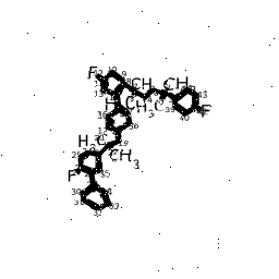 CC(C)(CCC(C)(C)c1ccc(F)cc1-c1ccc(CC(C)(C)c2ccc(F)c(-c3ccccc3)c2)cc1)c1ccc(F)cc1